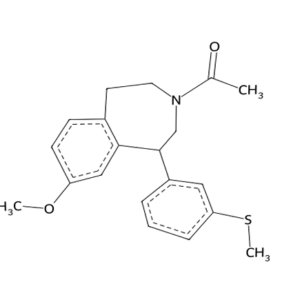 COc1ccc2c(c1)C(c1cccc(SC)c1)CN(C(C)=O)CC2